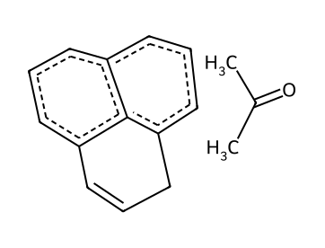 C1=Cc2cccc3cccc(c23)C1.CC(C)=O